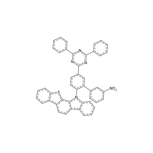 O=[N+]([O-])c1cccc(-c2cc(-c3nc(-c4ccccc4)nc(-c4ccccc4)n3)ccc2-n2c3ccccc3c3ccc4c5ccccc5sc4c32)c1